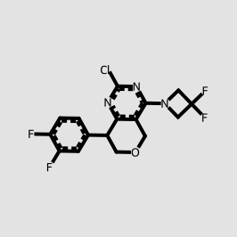 Fc1ccc(C2COCc3c2nc(Cl)nc3N2CC(F)(F)C2)cc1F